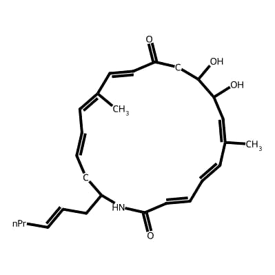 CCC/C=C/CC1C/C=C/C=C(C)/C=C/C(=O)CC(O)C(O)\C=C(C)/C=C/C=C/C(=O)N1